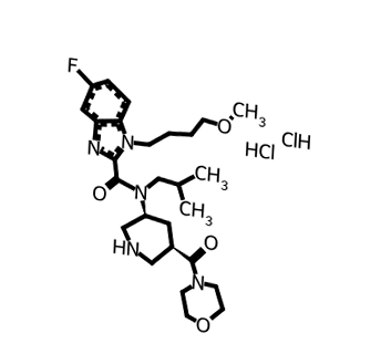 COCCCCn1c(C(=O)N(CC(C)C)[C@@H]2CNC[C@H](C(=O)N3CCOCC3)C2)nc2cc(F)ccc21.Cl.Cl